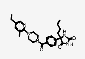 CCCCC1(c2ccc(C(=O)N3CCN(c4ncc(CC)cc4C)CC3)cc2)NC(=O)NC1=O